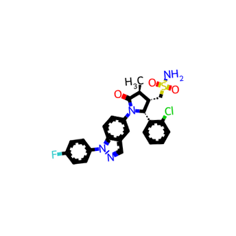 C[C@@H]1C(=O)N(c2ccc3c(cnn3-c3ccc(F)cc3)c2)[C@@H](c2ccccc2Cl)[C@H]1CS(N)(=O)=O